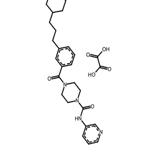 O=C(Nc1cccnc1)N1CCN(C(=O)c2cccc(CCCC3CCCCC3)c2)CC1.O=C(O)C(=O)O